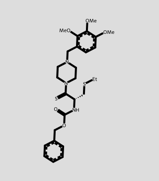 CCSC[C@H](NC(=O)OCc1ccccc1)C(=S)N1CCN(Cc2ccc(OC)c(OC)c2OC)CC1